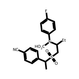 CCC(CS(=O)(=O)C(C)c1ccc(C#N)cc1)N(C(=O)O)c1ccc(F)cc1